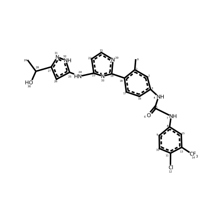 Cc1cc(NC(=O)Nc2ccc(Cl)c(C(F)(F)F)c2)ccc1-c1nccc(Nc2cc(C(C)O)n[nH]2)n1